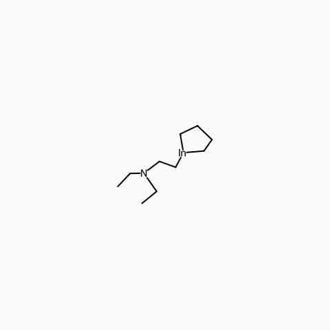 CCN(CC)C[CH2][In]1[CH2]CC[CH2]1